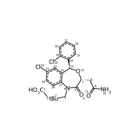 CC(=O)O.CC(C)(C)CN1C(=O)[C@@H](CC(N)=O)O[C@H](c2ccccc2Cl)c2cc(Cl)ccc21